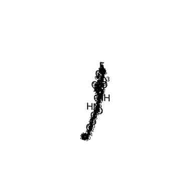 C[C@H](N(Cc1ccc(F)cc1)C(=O)CN1C(=O)OC2(CCc3cc(NC(=O)CCCNC(=O)CCOCCOCCOCCCc4ccccc4)ccc32)C1=O)C(F)(F)F